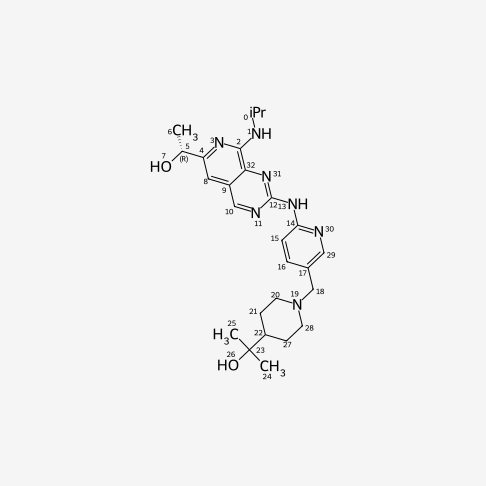 CC(C)Nc1nc([C@@H](C)O)cc2cnc(Nc3ccc(CN4CCC(C(C)(C)O)CC4)cn3)nc12